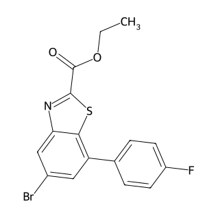 CCOC(=O)c1nc2cc(Br)cc(-c3ccc(F)cc3)c2s1